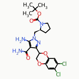 CC(C)(C)OC(=O)N1CCC[C@H]1Cn1nc(C2COc3cc(Cl)c(Cl)cc3O2)c(C(N)=O)c1N